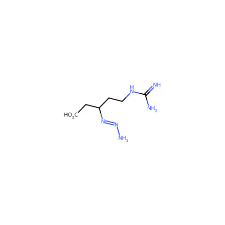 N=C(N)NCCC(CC(=O)O)N=NN